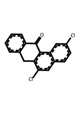 O=C1c2ccccc2Cc2c(Cl)cc3ccc(Cl)cc3c21